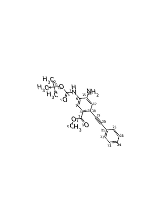 COC(=O)c1cc(NC(=O)OC(C)(C)C)c(N)cc1C#Cc1ccccc1